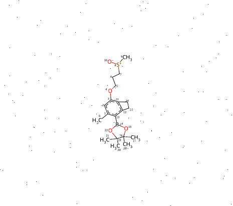 Cc1cc(OCCC[S+](C)[O-])c2c(c1B1OC(C)(C)C(C)(C)O1)CC2